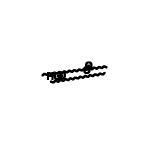 CCCCCCCCCCCCCCCCCCC(CCCC)C(=O)O.CCCCCCCCCCCCCCCCCCOC(=O)CCCCCCC